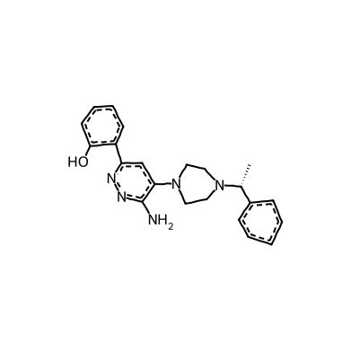 C[C@H](c1ccccc1)N1CCN(c2cc(-c3ccccc3O)nnc2N)CC1